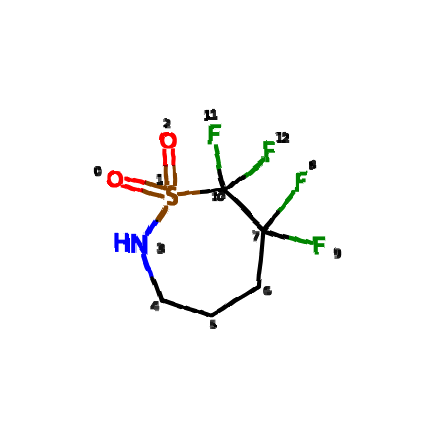 O=S1(=O)NCCCC(F)(F)C1(F)F